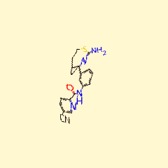 N#Cc1ccc(C(=O)Nc2cccc(C34CC3CCSC(N)=N4)c2)nc1